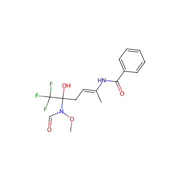 CON(C=O)C(O)(C/C=C(\C)NC(=O)c1ccccc1)C(F)(F)F